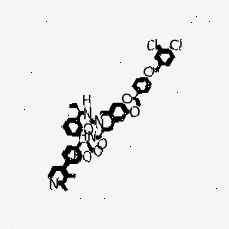 CC[C@@H](NC(=O)N1Cc2cc3c(cc2C[C@H]1C(=O)N[C@@H](Cc1ccc(-c2ccnc(C)c2C)cc1)C(=O)O)OC[C@H](c1ccc(OCc2ccc(Cl)c(Cl)c2)cc1)O3)c1ccccc1